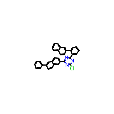 Clc1nc(-c2ccc3cc(-c4ccccc4)ccc3c2)nc(-c2ccccc2-c2ccc3ccccc3c2)n1